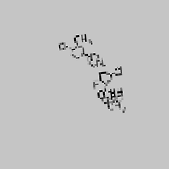 Cc1cc(N2CCN(Cc3cc(F)c(C(=O)NS(C)(=O)=O)cc3Cl)CC2)ccc1Cl